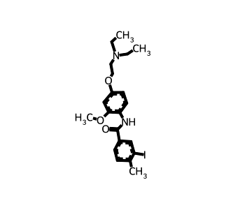 CCN(CC)CCOc1ccc(NC(=O)c2ccc(C)c(I)c2)c(OC)c1